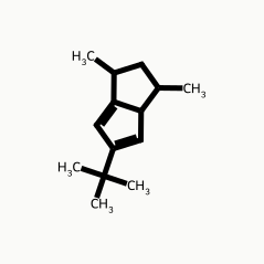 CC1CC(C)C2C=C(C(C)(C)C)C=C12